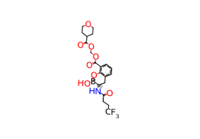 O=C(CCC(F)(F)F)N[C@H]1Cc2cccc(C(=O)OCOC(=O)C3CCOCC3)c2OB1O